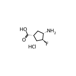 Cl.N[C@H]1C[C@@H](C(=O)O)C[C@@H]1F